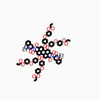 C=CC(=O)Oc1cccc(Oc2ccc(Oc3cc4c5c(cc(Oc6ccc(Oc7cccc(OC(=O)C=C)c7)cc6)c6c7c(Oc8ccc(Oc9cccc(OC(=O)C=C)c9)cc8)cc8c9c(cc(Oc%10ccc(Oc%11cccc(OC(=O)C=C)c%11)cc%10)c(c3c56)c97)C(=O)N(C(Cc3ccccc3)C(=O)N(CC)CC)C8=O)C(=O)N(C(Cc3ccccc3)C(=O)N(CC)CC)C4=O)cc2)c1